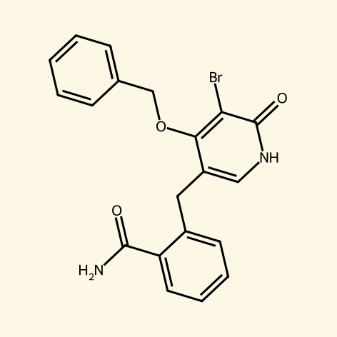 NC(=O)c1ccccc1Cc1c[nH]c(=O)c(Br)c1OCc1ccccc1